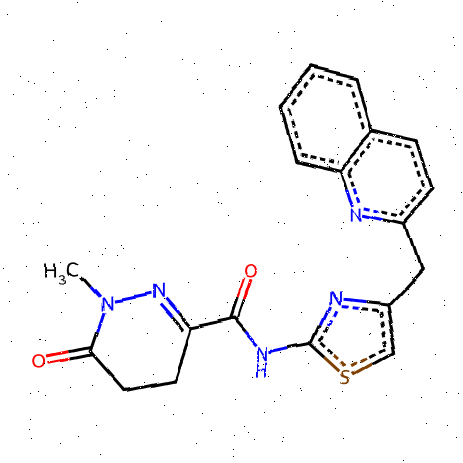 CN1N=C(C(=O)Nc2nc(Cc3ccc4ccccc4n3)cs2)CCC1=O